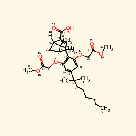 CCCCCCC(C)(C)c1cc(OCC(=O)OC)c([C@H]2C=C(C(=O)O)[C@H]3CC2C3(C)C)c(OCC(=O)OC)c1